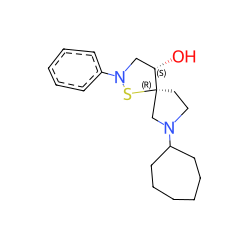 O[C@H]1CN(c2ccccc2)S[C@@]12CCN(C1CCCCCC1)C2